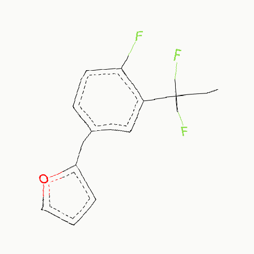 CC(F)(F)c1cc(-c2ccco2)ccc1F